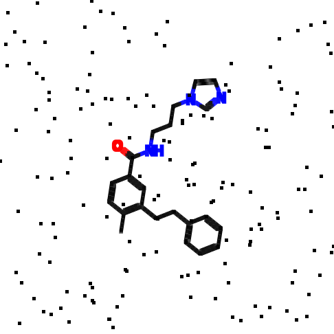 Cc1ccc(C(=O)NCCCn2ccnc2)cc1CCc1ccccc1